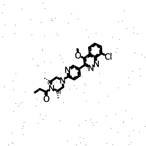 CCC(=O)N1[C@H](C)CN(c2ccc(-c3nnc4c(Cl)cccc4c3OC)cn2)C[C@@H]1C